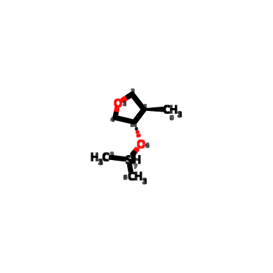 C[C@@H]1COC[C@H]1O[SiH](C)C